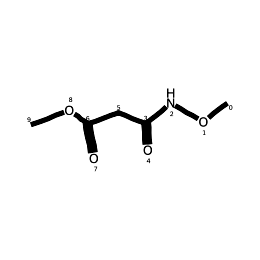 CONC(=O)CC(=O)OC